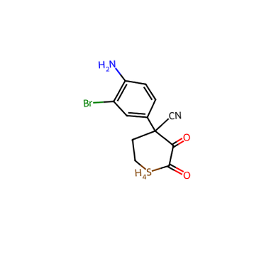 N#CC1(c2ccc(N)c(Br)c2)CC[SH4]C(=O)C1=O